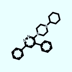 c1ccc(-c2cc(-c3ccccc3)c(N3CCN(C4CCCCC4)CC3)nn2)cc1